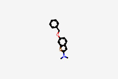 CN(C)c1cc2ccc(OCc3ccccc3)cc2s1